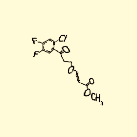 COC(=O)C=COCCC(=O)c1cc(F)c(F)cc1Cl